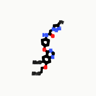 COCCOc1cc2ncnc(Oc3ccc(NC(=O)Cn4cc(C(C)C)nn4)cc3)c2cc1OC